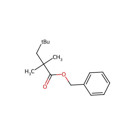 CC(C)(C)CC(C)(C)C(=O)OCc1ccccc1